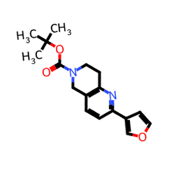 CC(C)(C)OC(=O)N1CCc2nc(-c3ccoc3)ccc2C1